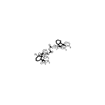 CC(C)(C)C1CCCCC1(OOOC(=O)OC(=O)OOOC1(C(C)(C)C)CCCCC1C(C)(C)C)C(C)(C)C